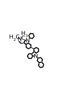 C=N/C=C\c1c(C)n(-c2ccccc2)c2cc(-c3cccc4c3c3ccccc3n4-c3ccc4ccccc4c3)ccc12